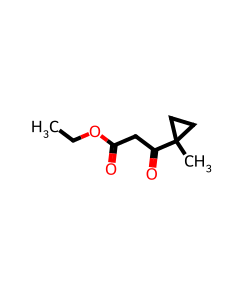 CCOC(=O)CC(=O)C1(C)CC1